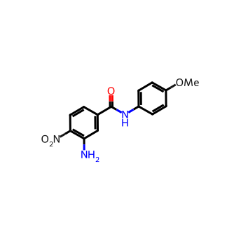 COc1ccc(NC(=O)c2ccc([N+](=O)[O-])c(N)c2)cc1